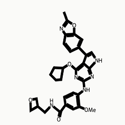 COc1cc(C(=O)NCC2COC2)ccc1Nc1nc(OC2CCCC2)c2c(-c3ccc4nc(C)oc4c3)c[nH]c2n1